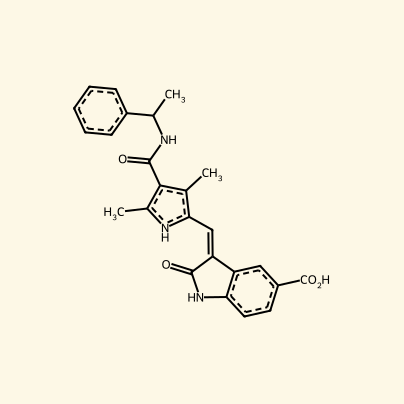 Cc1[nH]c(/C=C2\C(=O)Nc3ccc(C(=O)O)cc32)c(C)c1C(=O)NC(C)c1ccccc1